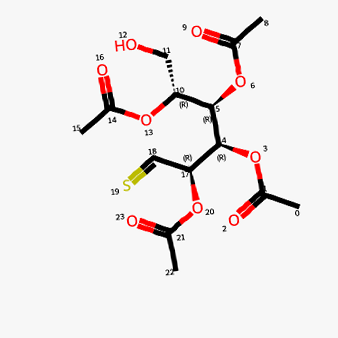 CC(=O)O[C@H]([C@H](OC(C)=O)[C@@H](CO)OC(C)=O)[C@H](C=S)OC(C)=O